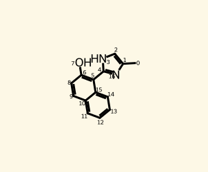 Cc1c[nH]c(-c2c(O)ccc3ccccc23)n1